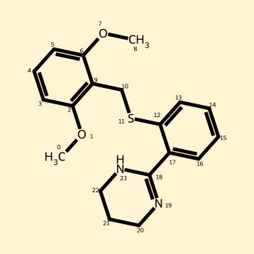 COc1cccc(OC)c1CSc1ccccc1C1=NCCCN1